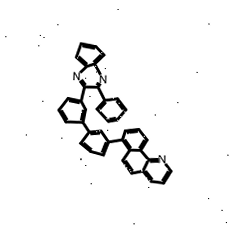 c1ccc(-c2nc3ccccc3nc2-c2cccc(-c3cccc(-c4cccc5c4ccc4cccnc45)c3)c2)cc1